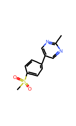 Cc1ncc(-c2ccc(S(C)(=O)=O)cc2)cn1